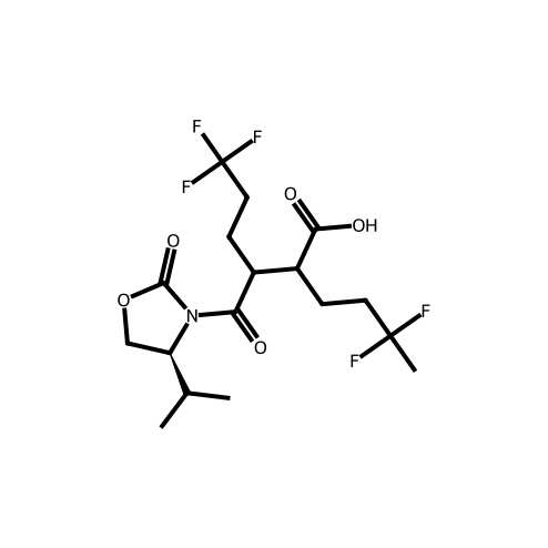 CC(C)[C@H]1COC(=O)N1C(=O)C(CCC(F)(F)F)C(CCC(C)(F)F)C(=O)O